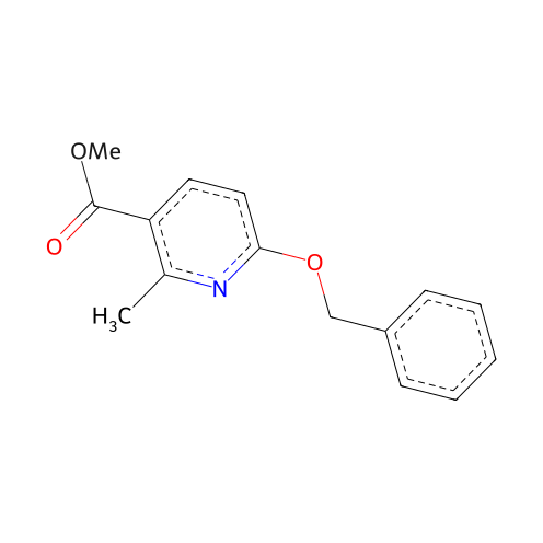 COC(=O)c1ccc(OCc2ccccc2)nc1C